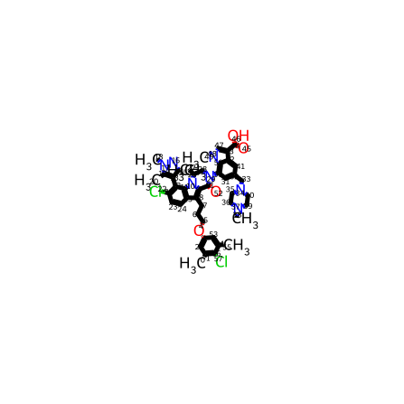 Cc1cc(OCCCc2c3n(c4c(-c5c(C)nn(C)c5C)c(Cl)ccc24)C(C)CN(c2cc(CN4CCN(C)CC4)cc4c(C(=O)O)cn(C)c24)C3=O)cc(C)c1Cl